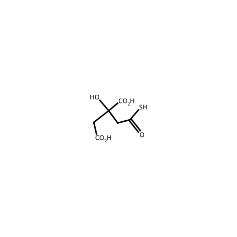 O=C(O)CC(O)(CC(=O)S)C(=O)O